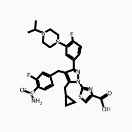 CC(C)N1CCN(c2cc(-c3nn(-c4nc(C(=O)O)cs4)c(CC4CC4)c3Cc3ccc([S+](N)[O-])c(F)c3)ccc2F)CC1